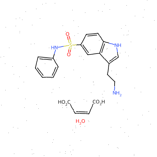 NCCc1c[nH]c2ccc(S(=O)(=O)Nc3ccccc3)cc12.O.O=C(O)/C=C\C(=O)O